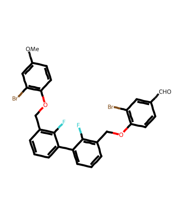 COc1ccc(OCc2cccc(-c3cccc(COc4ccc(C=O)cc4Br)c3F)c2F)c(Br)c1